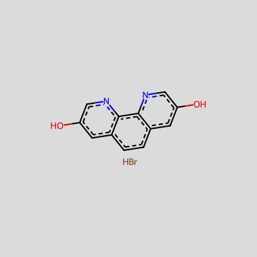 Br.Oc1cnc2c(ccc3cc(O)cnc32)c1